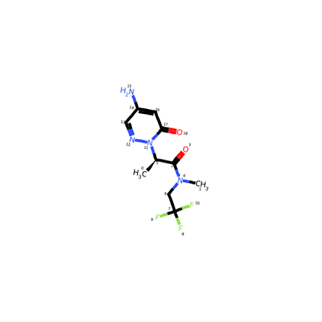 C[C@H](C(=O)N(C)CC(F)(F)F)n1ncc(N)cc1=O